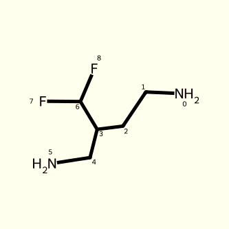 NCCC(CN)C(F)F